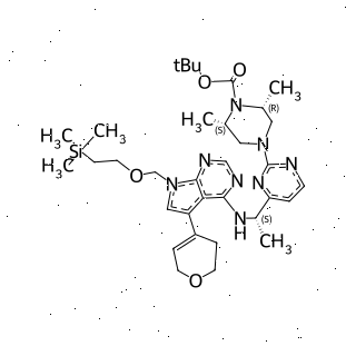 C[C@H](Nc1ncnc2c1c(C1=CCOCC1)cn2COCC[Si](C)(C)C)c1ccnc(N2C[C@@H](C)N(C(=O)OC(C)(C)C)[C@@H](C)C2)n1